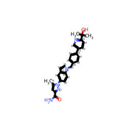 Cc1cc(C(N)=O)nn1-c1ccc2c(ccn2Cc2ccc(-c3ccc(C(C)(C)O)nc3)cc2)c1